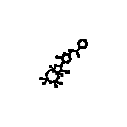 CC(C)[Si]1(C(C)C)OC[C@H]2O[C@@H](n3ccc(NC(=O)c4ccccc4)nc3=O)C(O)[C@H]2O[Si](C(C)C)(C(C)C)O1